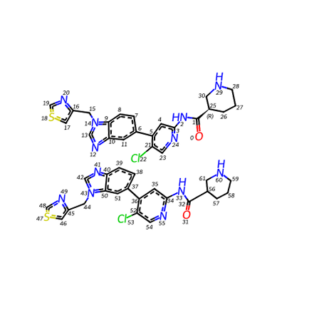 O=C(Nc1cc(-c2ccc3c(c2)ncn3Cc2cscn2)c(Cl)cn1)[C@@H]1CCCNC1.O=C(Nc1cc(-c2ccc3ncn(Cc4cscn4)c3c2)c(Cl)cn1)C1CCCNC1